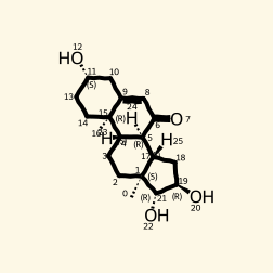 C[C@]12CC[C@H]3[C@@H](C(=O)C=C4C[C@@H](O)CC[C@@]43C)[C@@H]1C[C@@H](O)[C@@H]2O